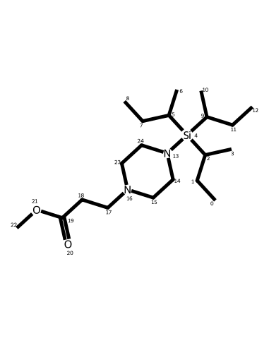 CCC(C)[Si](C(C)CC)(C(C)CC)N1CCN(CCC(=O)OC)CC1